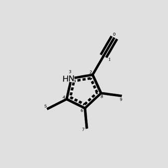 C#Cc1[nH]c(C)c(C)c1C